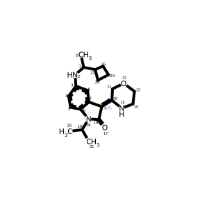 CC(Nc1ccc2c(c1)/C(=C1\COCCN1)C(=O)N2C(C)C)C1CCC1